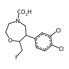 O=C(O)N1CCOC(CI)C(c2ccc(Cl)c(Cl)c2)C1